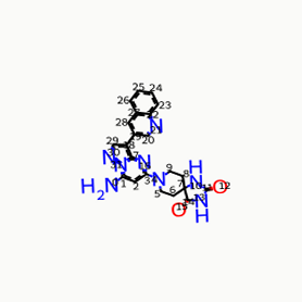 Nc1cc(N2CCC3(CC2)NC(=O)NC3=O)nc2c(-c3cnc4ccccc4c3)cnn12